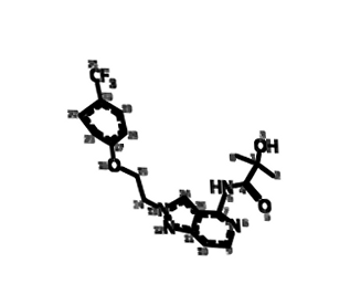 CC(C)(O)C(=O)Nc1nccc2nn(CCOc3ccc(C(F)(F)F)cc3)cc12